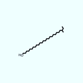 CCC(C)CCCCCCCCCCCCCCCCCCCCCCCO